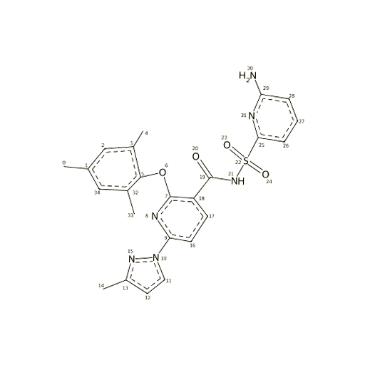 Cc1cc(C)c(Oc2nc(-n3ccc(C)n3)ccc2C(=O)NS(=O)(=O)c2cccc(N)n2)c(C)c1